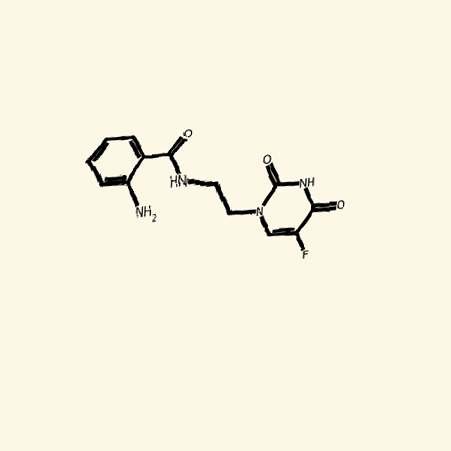 Nc1ccccc1C(=O)NCCn1cc(F)c(=O)[nH]c1=O